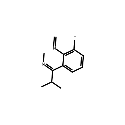 C=Nc1c(F)cccc1/C(=N\C)C(C)C